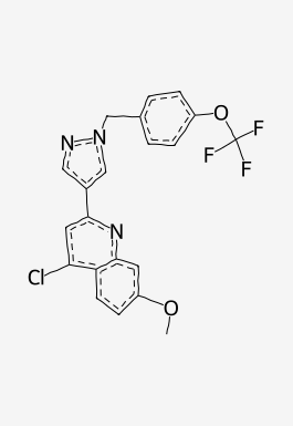 COc1ccc2c(Cl)cc(-c3cnn(Cc4ccc(OC(F)(F)F)cc4)c3)nc2c1